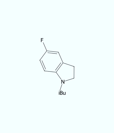 CCC(C)N1CCc2cc(F)ccc21